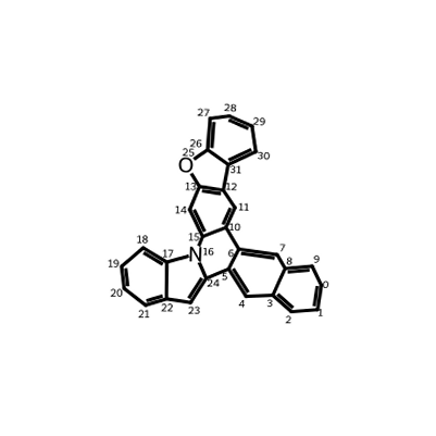 c1ccc2cc3c(cc2c1)c1cc2c(cc1n1c4ccccc4cc31)oc1ccccc12